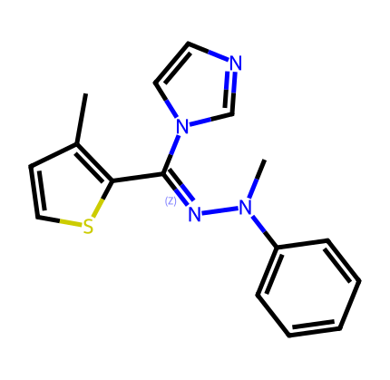 Cc1ccsc1/C(=N/N(C)c1ccccc1)n1ccnc1